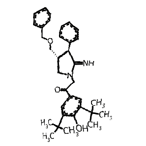 CC(C)(C)c1cc(C(=O)CN2C[C@H](COCc3ccccc3)[C@@H](c3ccccc3)C2=N)cc(C(C)(C)C)c1O